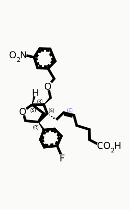 O=C(O)CCC/C=C\C[C@H]1[C@H](COCc2cccc([N+](=O)[O-])c2)[C@@H]2C[C@@]1(c1ccc(F)cc1)CO2